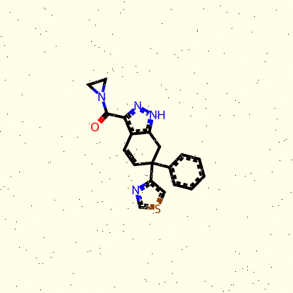 O=C(c1n[nH]c2c1C=CC(c1ccccc1)(c1cscn1)C2)N1CC1